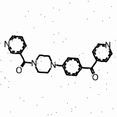 O=C(c1ccncc1)c1ccc(N2CCN(C(=O)c3cccnc3)CC2)cc1